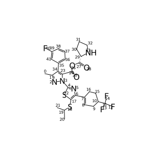 Cc1nn(-c2nc(C3=CCC(C(F)(F)F)CC3)c(SC(C)C)s2)c(C(=O)OC(=O)[C@@H]2CCCN2)c1-c1cccc(F)c1